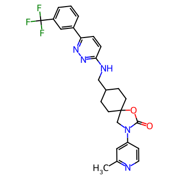 Cc1cc(N2CC3(CCC(CNc4ccc(-c5cccc(C(F)(F)F)c5)nn4)CC3)OC2=O)ccn1